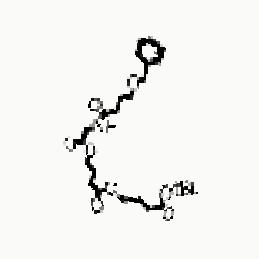 CC(C)(C)OC(=O)CCCOC(=O)CCCOC(=O)CNC(=O)CCCOCc1ccccc1